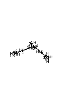 N=C1N[C@H]2[C@H](CS[C@H]2CCCCC(=O)NCCCCCC(=O)Nc2cc(NC(=O)CCCCCNC(=O)CCCC[C@@H]3SC[C@@H]4NC(=N)N[C@@H]43)cc(C(N)=O)c2)N1